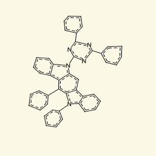 c1ccc(-c2nc(-c3ccccc3)nc(-n3c4ccccc4c4c(-c5ccccc5)c5c(cc43)c3ccccc3n5-c3ccccc3)n2)cc1